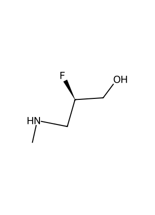 CNC[C@@H](F)CO